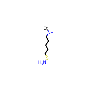 CCNCCCCCSN